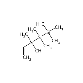 C=C[Si](C)(C)[Si](C)(C)[Si](C)(C)C